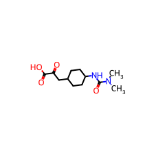 CN(C)C(=O)NC1CCC(CC(=O)C(=O)O)CC1